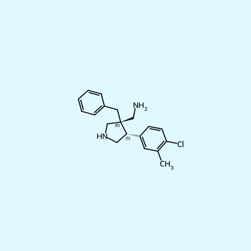 Cc1cc([C@@H]2CNC[C@]2(CN)Cc2ccccc2)ccc1Cl